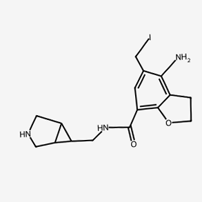 Nc1c(CI)cc(C(=O)NCC2C3CNCC32)c2c1CCO2